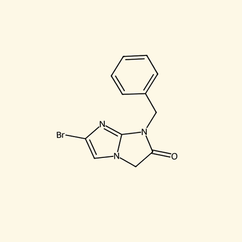 O=C1Cn2cc(Br)nc2N1Cc1ccccc1